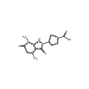 Cc1cc(=O)n(C)c2[nH]n(-c3ccc(C(=O)O)cc3)c(=O)c12